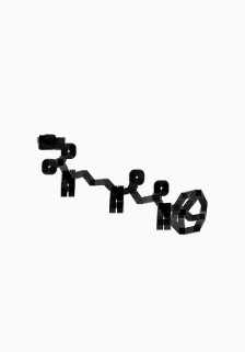 CC(C)(C)OC(=O)NCCCNC(=O)CC(=O)NC12CC3CC(CC(C3)C1)C2